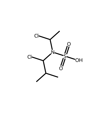 CC(C)C(Cl)N(C(C)Cl)S(=O)(=O)O